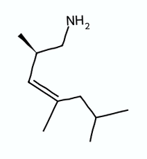 C/C(=C/[C@@H](C)CN)CC(C)C